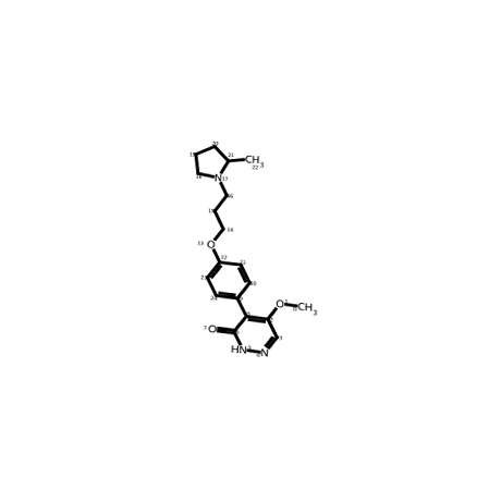 COc1cn[nH]c(=O)c1-c1ccc(OCCCN2CCCC2C)cc1